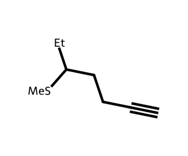 C#CCCC(C[CH2])SC